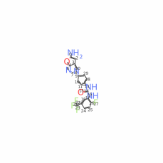 Nc1cc2c(o1)=NCN(c1ccc(NC(=O)Nc3cc(C(F)(F)F)ccc3F)cc1)C=2